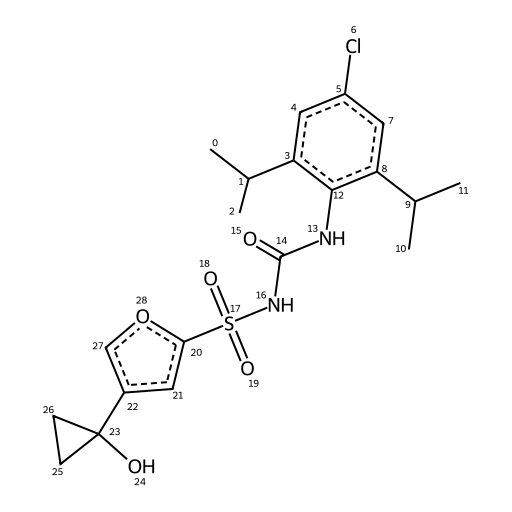 CC(C)c1cc(Cl)cc(C(C)C)c1NC(=O)NS(=O)(=O)c1cc(C2(O)CC2)co1